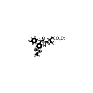 CCOC(=O)Cc1nc(NC(=O)C(Oc2ccc(C)cc2)c2ccc(S(=O)(=O)C3CC3)cc2)sc1Cl